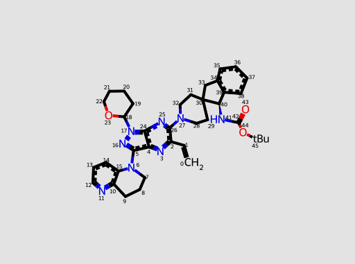 C=Cc1nc2c(N3CCCc4ncccc43)nn(C3CCCCO3)c2nc1N1CCC2(CC1)Cc1ccccc1[C@H]2NC(=O)OC(C)(C)C